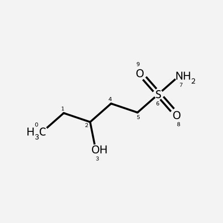 CCC(O)CCS(N)(=O)=O